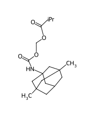 CC(C)C(=O)OCOC(=O)NC12CC3CC(C)(CC(C)(C3)C1)C2